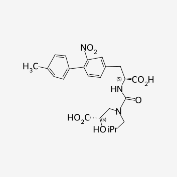 Cc1ccc(-c2ccc(C[C@H](NC(=O)N(CC(C)C)C[C@H](O)C(=O)O)C(=O)O)cc2[N+](=O)[O-])cc1